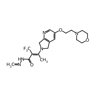 C=NNC(=O)/C(=C(\C)N1Cc2cc(OCCN3CCOCC3)cnc2C1)C(F)(F)F